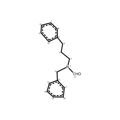 O=CN(CCCc1ccccc1)Cc1ccccc1